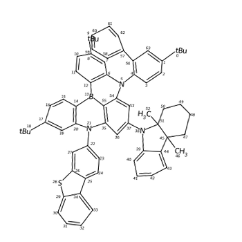 CC(C)(C)c1ccc(N2c3cc(C(C)(C)C)ccc3B3c4ccc(C(C)(C)C)cc4N(c4ccc5c(c4)sc4ccccc45)c4cc(N5c6ccccc6C6(C)CCCCC56C)cc2c43)c(-c2ccccc2)c1